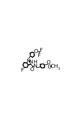 COC(=O)c1ccc(CNC(=O)c2nn(Cc3ccc(OC(F)F)cc3)c3ccc(F)cc23)cc1